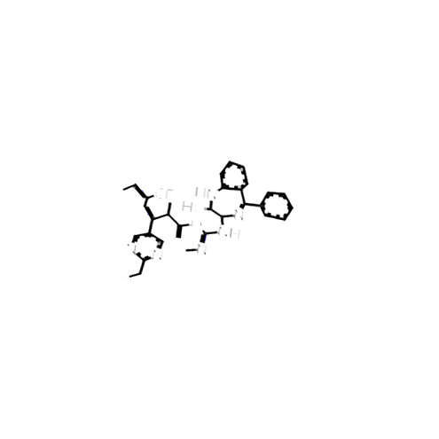 C=C(O/C(=N\C)NC1N=C(c2ccccc2)c2ccccc2NC1O)C(C)/C(=C\C(=C/C)C(F)(F)F)c1cnc(CF)nc1